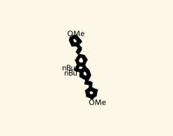 CCCCC1(CCCC)C2=C(C=C[C@@H](/C=C/c3ccc(OC)cc3)C2)c2ccc(/C=C/c3ccc(OC)cc3)cc21